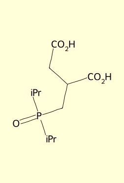 CC(C)P(=O)(CC(CC(=O)O)C(=O)O)C(C)C